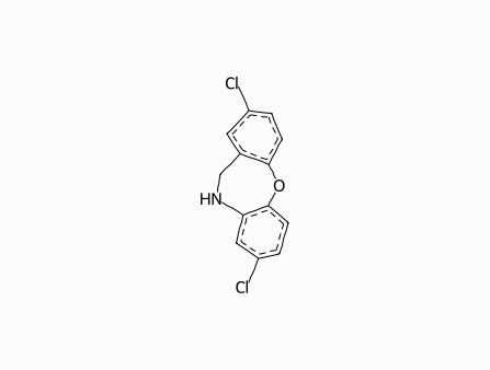 Clc1ccc2c(c1)CNc1cc(Cl)ccc1O2